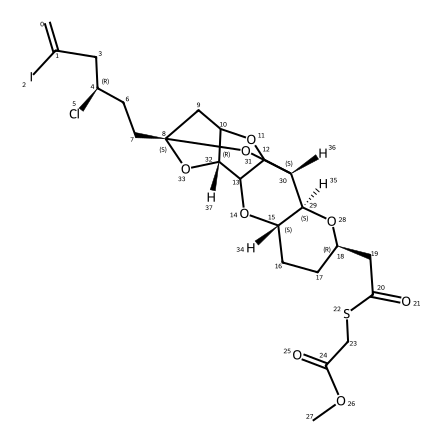 C=C(I)C[C@H](Cl)CC[C@@]12CC3OC4C(O[C@H]5CC[C@H](CC(=O)SCC(=O)OC)O[C@@H]5[C@@H]4O1)[C@@H]3O2